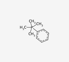 CP(C)(C)(C)c1ccccc1